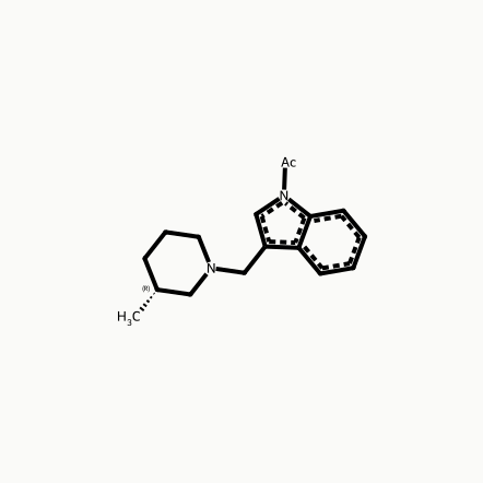 CC(=O)n1cc(CN2CCC[C@@H](C)C2)c2ccccc21